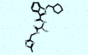 Cc1nc(CNC(=O)[C@@H](NC(=O)c2nn(CC3CCCCC3)c3ccccc23)C(C)(C)C)no1